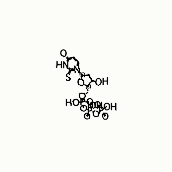 O=c1ccn([C@@H]2CC(O)[C@H](COP(=O)(O)OP(=O)(O)OP(=O)(O)O)O2)c(=S)[nH]1